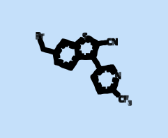 N#Cc1sc2cc(CBr)ccc2c1-c1ccc(C(F)(F)F)nc1